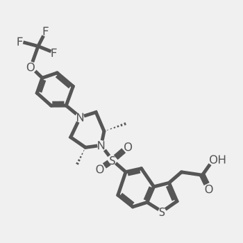 C[C@@H]1CN(c2ccc(OC(F)(F)F)cc2)C[C@H](C)N1S(=O)(=O)c1ccc2scc(CC(=O)O)c2c1